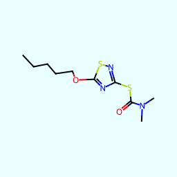 CCCCCOc1nc(SC(=O)N(C)C)ns1